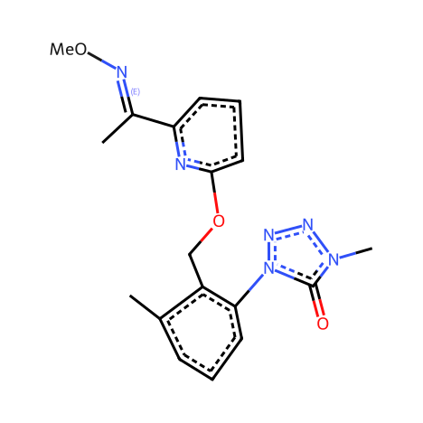 CO/N=C(\C)c1cccc(OCc2c(C)cccc2-n2nnn(C)c2=O)n1